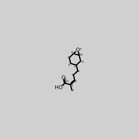 CC(=CCCC1CCC2OC2C1)C(=O)O